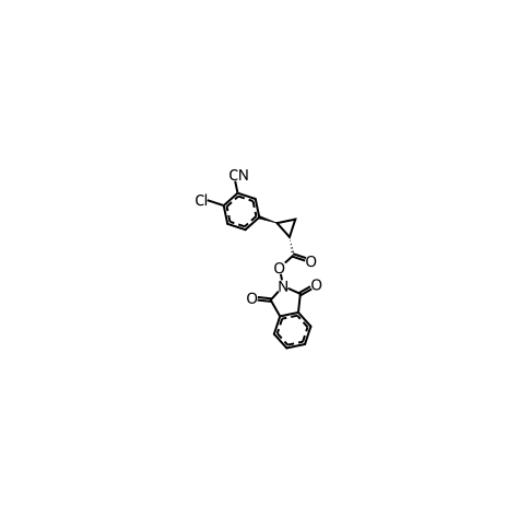 N#Cc1cc([C@H]2C[C@@H]2C(=O)ON2C(=O)c3ccccc3C2=O)ccc1Cl